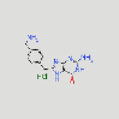 Cl.NCc1ccc(Cc2nc3nc(N)[nH]c(=O)c3[nH]2)cc1